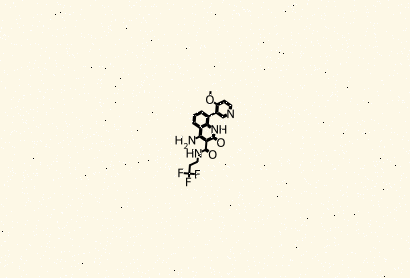 COc1ccncc1-c1cccc2c(N)c(C(=O)NCCC(F)(F)F)c(=O)[nH]c12